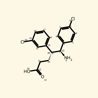 N[C@H](c1ccc(Cl)cc1)[C@H](CCC(=O)O)c1cccc(Cl)c1